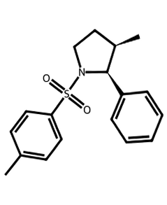 Cc1ccc(S(=O)(=O)N2CC[C@@H](C)[C@H]2c2ccccc2)cc1